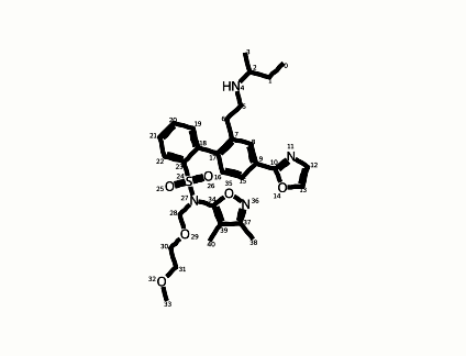 CCC(C)NCCc1cc(-c2ncco2)ccc1-c1ccccc1S(=O)(=O)N(COCCOC)c1onc(C)c1C